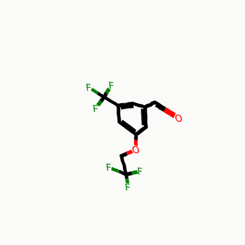 O=Cc1cc(OCC(F)(F)F)cc(C(F)(F)F)c1